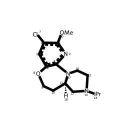 COc1nc2c(cc1Cl)OCC[C@@H]1CN(C(C)C)CCN21